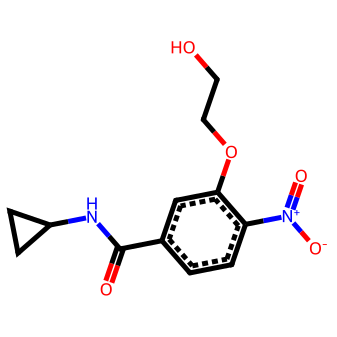 O=C(NC1CC1)c1ccc([N+](=O)[O-])c(OCCO)c1